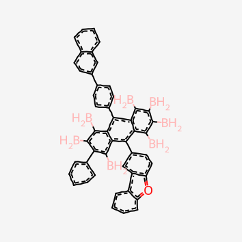 Bc1c(B)c(B)c2c(-c3ccc4oc5ccccc5c4c3)c3c(B)c(-c4ccccc4)c(B)c(B)c3c(-c3ccc(-c4ccc5ccccc5c4)cc3)c2c1B